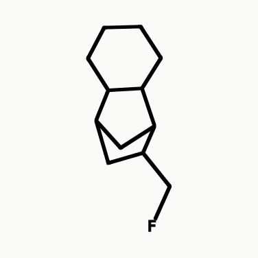 FCC1CC2CC1C1CCCCC21